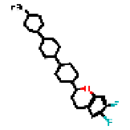 CCCCC1CCC(C2CCC(C3CCC(C4CCc5cc(F)c(F)cc5O4)CC3)CC2)CC1